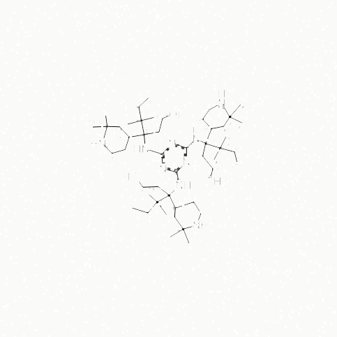 CCC(C)(C)C(CCO)(Nc1nc(NC(CCO)(C2CCNC(C)(C)C2)C(C)(C)CC)nc(NC(CCO)(C2CCNC(C)(C)C2)C(C)(C)CC)n1)C1CCNC(C)(C)C1